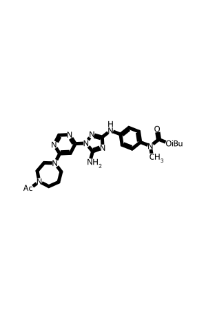 CC(=O)N1CCCN(c2cc(-n3nc(Nc4ccc(N(C)C(=O)OCC(C)C)cc4)nc3N)ncn2)CC1